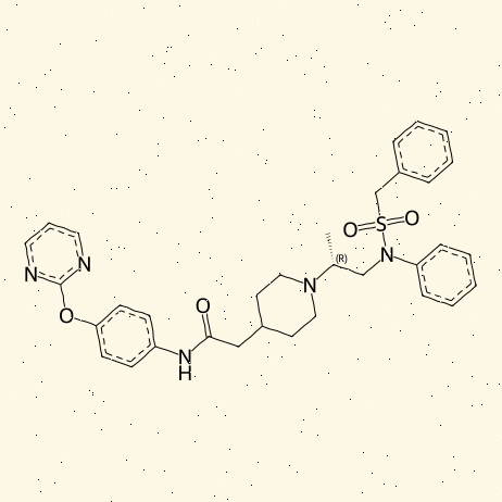 C[C@H](CN(c1ccccc1)S(=O)(=O)Cc1ccccc1)N1CCC(CC(=O)Nc2ccc(Oc3ncccn3)cc2)CC1